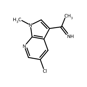 CC(=N)c1cn(C)c2ncc(Cl)cc12